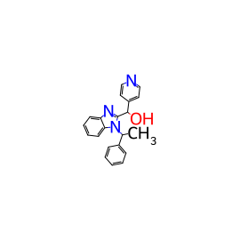 CC(c1ccccc1)n1c(C(O)c2ccncc2)nc2ccccc21